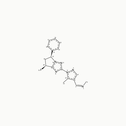 C/N=C\c1cnn(-c2nc3n(n2)[C@H](c2ccccc2)C[C@@H]3F)c1C